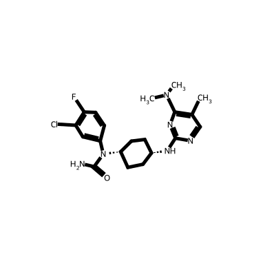 Cc1cnc(N[C@H]2CC[C@@H](N(C(N)=O)c3ccc(F)c(Cl)c3)CC2)nc1N(C)C